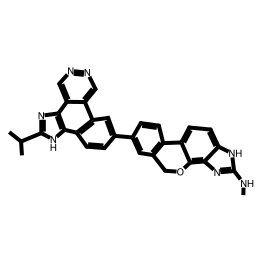 CNc1nc2c3c(ccc2[nH]1)-c1ccc(-c2ccc4c(c2)c2cnncc2c2nc(C(C)C)[nH]c42)cc1CO3